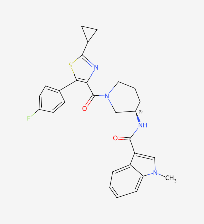 Cn1cc(C(=O)N[C@@H]2CCCN(C(=O)c3nc(C4CC4)sc3-c3ccc(F)cc3)C2)c2ccccc21